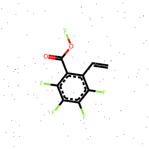 C=Cc1c(F)c(F)c(F)c(F)c1C(=O)OF